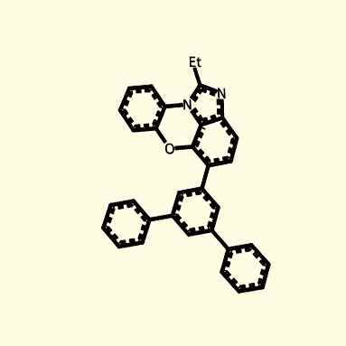 CCc1nc2ccc(-c3cc(-c4ccccc4)cc(-c4ccccc4)c3)c3c2n1-c1ccccc1O3